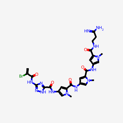 C=C(Br)C(=O)Nc1n[nH]c(C(=O)Nc2cc(C(=O)Nc3cc(C(=O)Nc4cc(C(=O)NCCC(=N)N)n(C)c4)n(C)c3)n(C)c2)n1